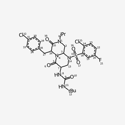 CC(C)N1CC2N(C(=O)C(NC(=O)NC(C)(C)C)CN2S(=O)(=O)c2cc(F)ccc2Cl)C(Cc2ccc(Cl)cc2)C1=O